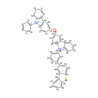 C1=Cc2c(n(-c3ccccc3)c3ccc(Oc4ccc5c(c4)c4ccccc4n5-c4cccc(-c5ccc6sc7ccccc7c6c5)c4)cc23)CC1